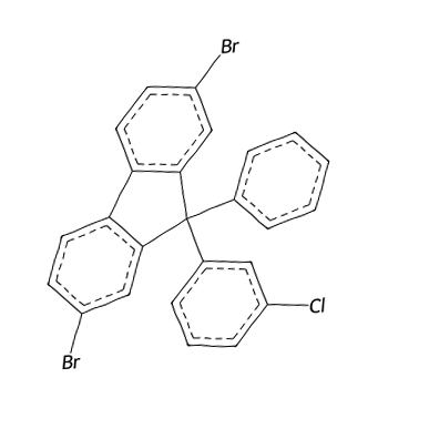 Clc1cccc(C2(c3ccccc3)c3cc(Br)ccc3-c3ccc(Br)cc32)c1